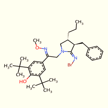 CCC[C@H]1CN(C/C(=N/OC)c2cc(C(C)(C)C)c(O)c(C(C)(C)C)c2)/C(=N\Br)[C@@H]1Cc1ccccc1